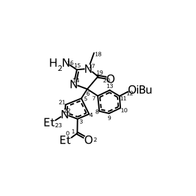 CCC(=O)c1cc(C2(c3cccc(OCC(C)C)c3)N=C(N)N(C)C2=O)cn1CC